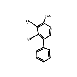 COc1ncc(-c2ccccc2)c(N)c1[N+](=O)[O-]